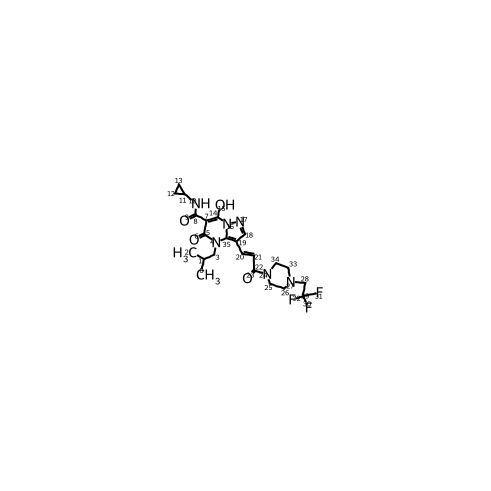 CC(C)Cn1c(=O)c(C(=O)NC2CC2)c(O)n2ncc(C=CC(=O)N3CCN(CC(F)(F)F)CC3)c12